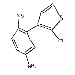 Nc1ccc(N)c(-c2ccsc2Cl)c1